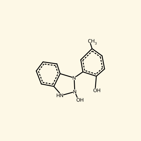 Cc1ccc(O)c(N2c3ccccc3NN2O)c1